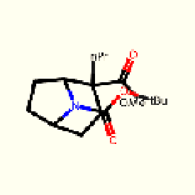 CCCC1(C(=O)OC)CCC2CCC1N2C(=O)OC(C)(C)C